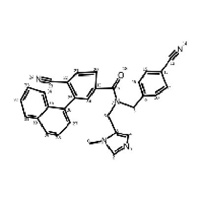 Cn1cncc1CN(Cc1ccc(C#N)cc1)C(=O)c1ccc(C#N)c(-c2cccc3ccccc23)c1